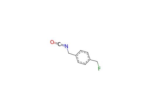 O=C=NCc1ccc(CF)cc1